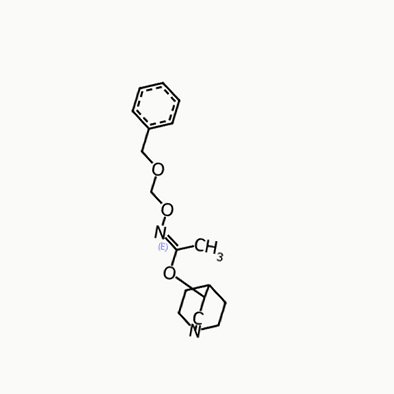 C/C(=N\OCOCc1ccccc1)OC1CN2CCC1CC2